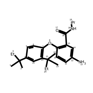 CCC(C)(C)c1ccc(Oc2ccc(N)cc2C(=O)NC(C)C)c(C(C)(C)CC)c1